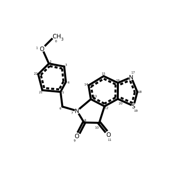 COc1ccc(CN2C(=O)C(=O)c3c2ccc2ncsc32)cc1